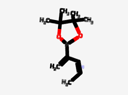 C=C(/C=C\C)B1OC(C)(C)C(C)(C)O1